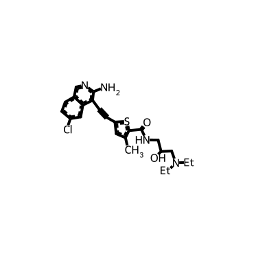 CCN(CC)CC(O)CNC(=O)c1sc(C#Cc2c(N)ncc3ccc(Cl)cc23)cc1C